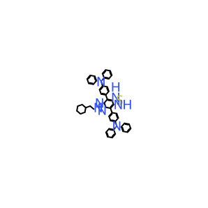 c1ccc(N(c2ccccc2)c2ccc(-c3c4c(c(-c5ccc(N(c6ccccc6)c6ccccc6)cc5)c5nn(CCC6CCCCC6)nc35)NSN4)cc2)cc1